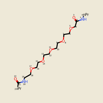 CCCNC(=O)COCCOCCOCCOCCOCCNC(=O)C(C)C